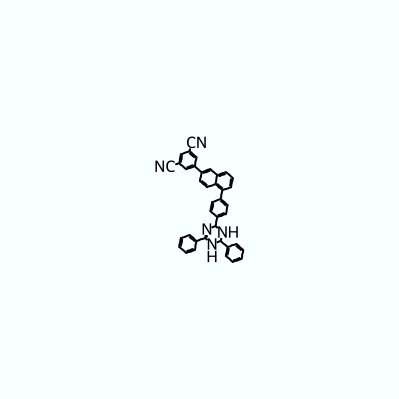 N#Cc1cc(C#N)cc(-c2ccc3c(-c4ccc(C5N=C(c6ccccc6)NC(c6ccccc6)N5)cc4)cccc3c2)c1